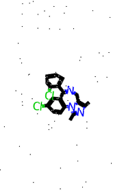 Cc1nc(C)n2c1CN=C(c1ccccc1Cl)c1cc(Cl)ccc1-2